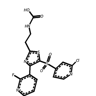 O=C(O)NCCc1nc(-c2cccnc2F)c(S(=O)(=O)c2ccnc(Cl)c2)s1